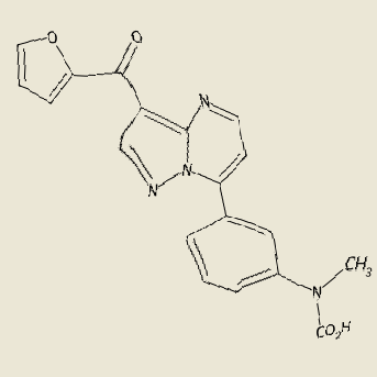 CN(C(=O)O)c1cccc(-c2ccnc3c(C(=O)c4ccco4)cnn23)c1